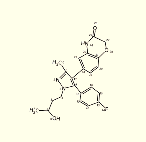 Cc1nn(CCC(C)O)c(-c2ccc(F)cc2)c1-c1ccc2c(c1)NC(=O)CO2